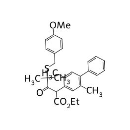 CCOC(=O)C(C(=O)C(C)(C)SCc1ccc(OC)cc1)c1cc(C)c(-c2ccccc2)cc1C